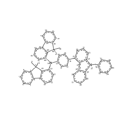 CC1(C)c2ccccc2-c2cccc(N(c3ccc(-c4cccc5c4c4ccccc4n5-c4ccccc4)cc3)c3cccc4c3C(C)(C)c3ccccc3-4)c21